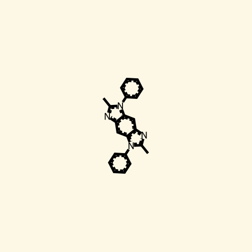 Cc1nc2cc3c(cc2n1-c1ccccc1)nc(C)n3-c1ccccc1